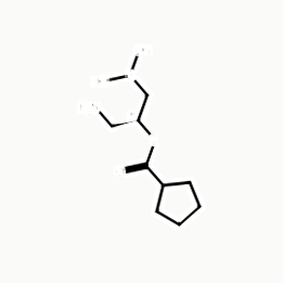 NC[C@@H](CB(O)O)OC(=O)C1CCCC1